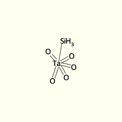 [O]=[Ta](=[O])(=[O])(=[O])(=[O])[SiH3]